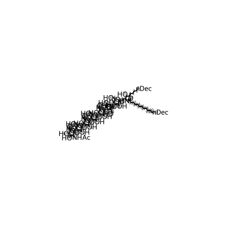 CCCCCCCCCCCCC/C=C/[C@@H](O)[C@H](CO[C@@H]1OC(CO)[C@@H](O[C@@H]2OC(CO)[C@H](O[C@@H]3OC(CO)[C@H](O)[C@H](O[C@H]4OC(CO)[C@H](O)[C@H](O[C@H]5OC(CO)[C@H](O)[C@H](O[C@H]6OC(CO)[C@H](O)[C@H](O[C@@H]7OC(CO)[C@H](O)[C@H](O)C7NC(C)=O)C6O)C5O)C4O)C3O)[C@H](O)C2O)[C@H](O)C1O)NC(=O)CCCCCCCCCCCCCCCCCCCCC